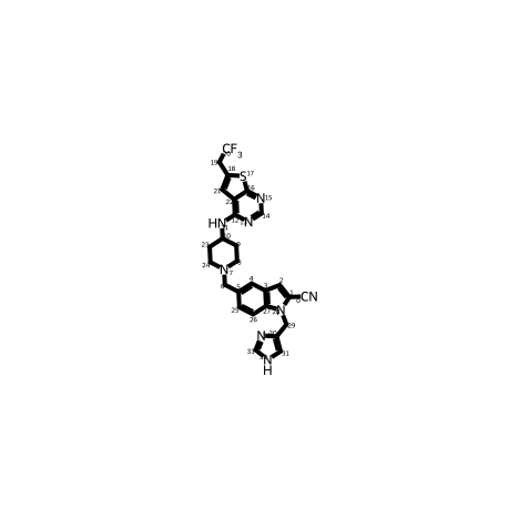 N#Cc1cc2cc(CN3CCC(Nc4ncnc5sc(CC(F)(F)F)cc45)CC3)ccc2n1Cc1c[nH]cn1